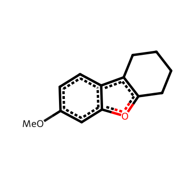 COc1ccc2c3c(oc2c1)CCCC3